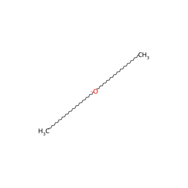 CCCCCCCCCCCCCCCCCCCCCCCCCCC[CH]OCCCCCCCCCCCCCCCCCCCCCCCCCC